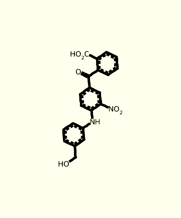 O=C(O)c1ccccc1C(=O)c1ccc(Nc2cccc(CO)c2)c([N+](=O)[O-])c1